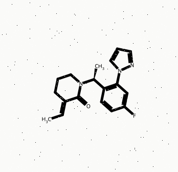 C/C=C1\CCCN([C@@H](C)c2ccc(F)cc2-n2cccn2)C1=O